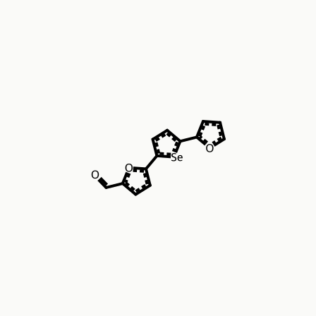 O=Cc1ccc(-c2ccc(-c3ccco3)[se]2)o1